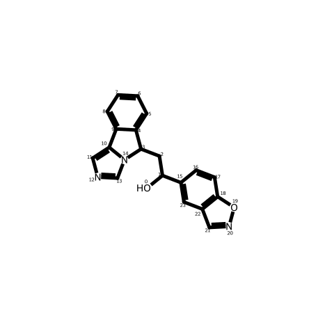 OC(CC1c2ccccc2-c2cncn21)c1ccc2oncc2c1